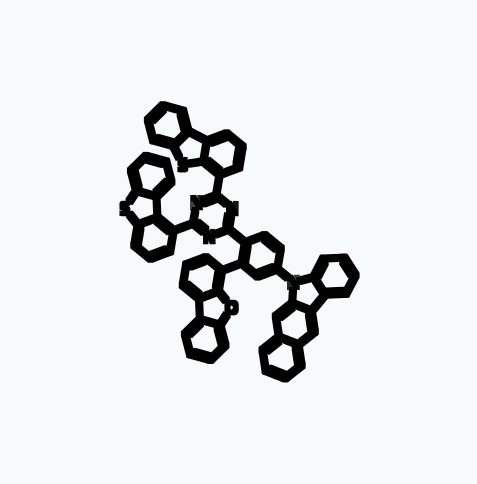 c1ccc2cc3c(cc2c1)c1ccccc1n3-c1ccc(-c2nc(-c3cccc4c3sc3ccccc34)nc(-c3cccc4sc5ccccc5c34)n2)c(-c2cccc3c2oc2ccccc23)c1